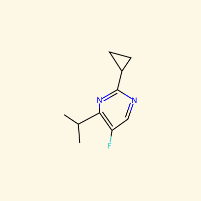 CC(C)c1nc(C2CC2)ncc1F